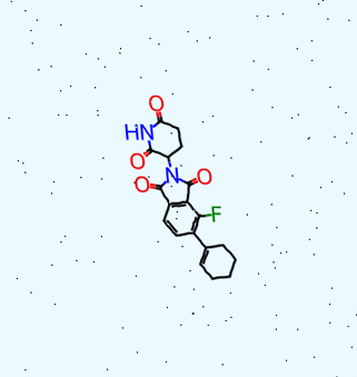 O=C1CCC(N2C(=O)c3ccc(C4=CCCCC4)c(F)c3C2=O)C(=O)N1